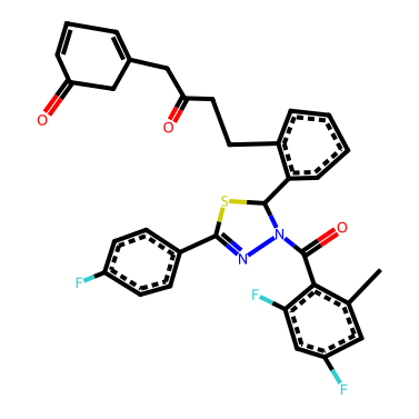 Cc1cc(F)cc(F)c1C(=O)N1N=C(c2ccc(F)cc2)SC1c1ccccc1CCC(=O)CC1=CC=CC(=O)C1